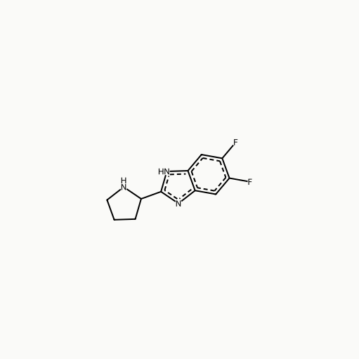 Fc1cc2nc(C3CCCN3)[nH]c2cc1F